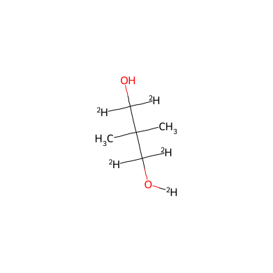 [2H]OC([2H])([2H])C(C)(C)C([2H])([2H])O